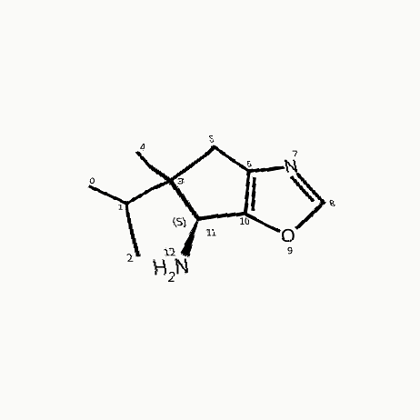 CC(C)C1(C)Cc2ncoc2[C@H]1N